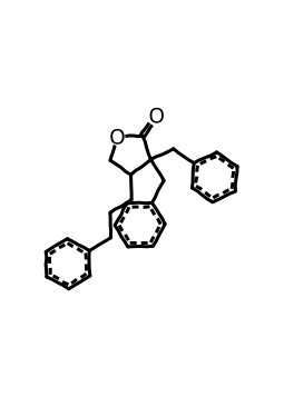 O=C1OCC(CCCc2ccccc2)C1(Cc1ccccc1)Cc1ccccc1